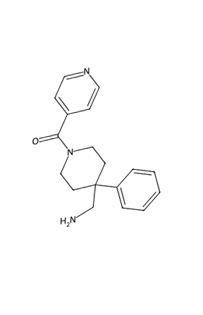 NCC1(c2ccccc2)CCN(C(=O)c2ccncc2)CC1